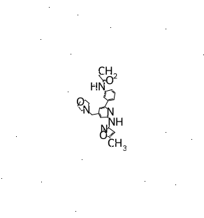 C=CC(=O)Nc1cccc(-c2cc(CN3CCOCC3)cc(Nc3cc(C)on3)n2)c1